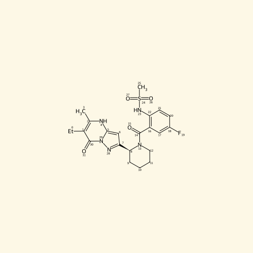 CCc1c(C)[nH]c2cc([C@@H]3CCCCN3C(=O)c3cc(F)ccc3NS(C)(=O)=O)nn2c1=O